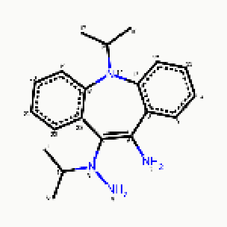 CC(C)N(N)C1=C(N)c2ccccc2N(C(C)C)c2ccccc21